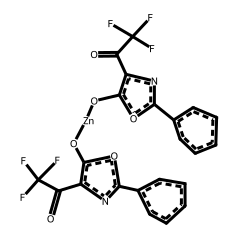 O=C(c1nc(-c2ccccc2)oc1[O][Zn][O]c1oc(-c2ccccc2)nc1C(=O)C(F)(F)F)C(F)(F)F